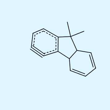 CC1(C)c2ccc#cc2C2C=CC=CC21